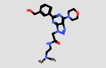 CN(C)CCNC(=O)Cn1nnc2c(N3CCOCC3)nc(-c3cccc(CO)c3)nc21